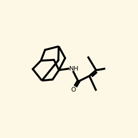 CC(C)=C(C)C(=O)NC12CC3CC(CC(C3)C1)C2